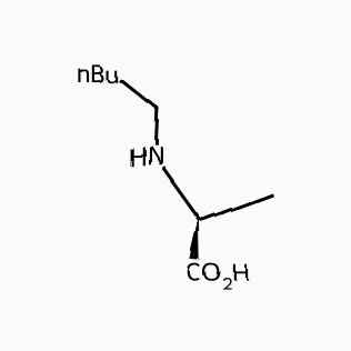 CCCCCN[C@@H](C)C(=O)O